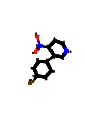 O=[N+]([O-])c1ccncc1-c1ccc(Br)cc1